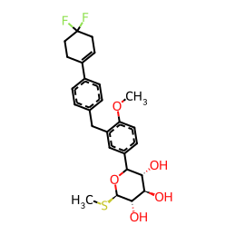 COc1ccc(C2O[C@H](SC)[C@@H](O)[C@H](O)[C@H]2O)cc1Cc1ccc(C2=CCC(F)(F)CC2)cc1